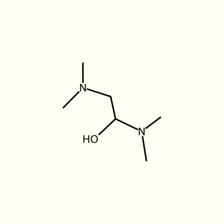 CN(C)CC(O)N(C)C